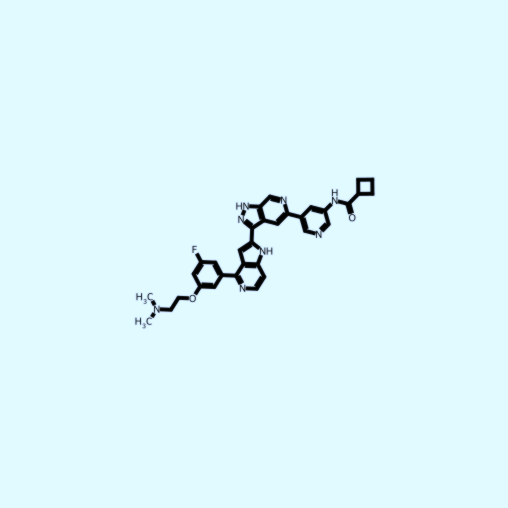 CN(C)CCOc1cc(F)cc(-c2nccc3[nH]c(-c4n[nH]c5cnc(-c6cncc(NC(=O)C7CCC7)c6)cc45)cc23)c1